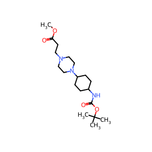 COC(=O)CCN1CCN(C2CCC(NC(=O)OC(C)(C)C)CC2)CC1